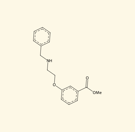 COC(=O)c1cccc(OCCNCc2ccccc2)c1